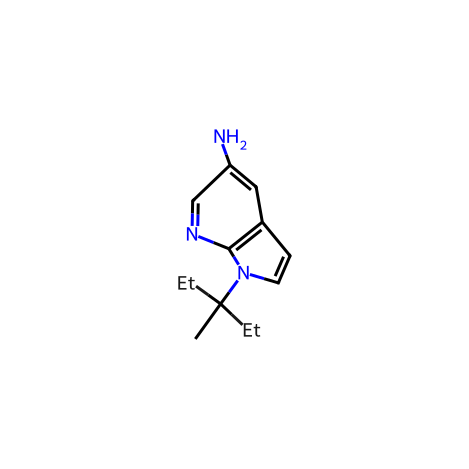 CCC(C)(CC)n1ccc2cc(N)cnc21